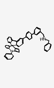 c1ccc(CNCc2cccc(-c3ccc(-c4ccc5c(c4)-c4ccccc4C54c5ccccc5N(c5ccccc5)c5ccccc54)cc3)c2)cc1